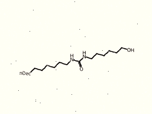 CCCCCCCCCCCCCCCCNC(=O)NCCCCCCO